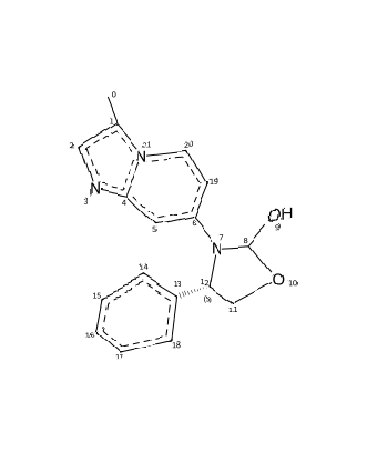 Cc1cnc2cc(N3C(O)OC[C@@H]3c3ccccc3)ccn12